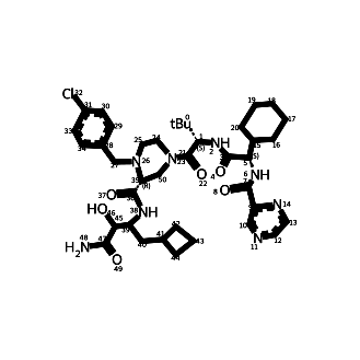 CC(C)(C)[C@H](NC(=O)[C@@H](NC(=O)c1cnccn1)C1CCCCC1)C(=O)N1CCN(Cc2ccc(Cl)cc2)[C@@H](C(=O)NC(CC2CCC2)C(O)C(N)=O)C1